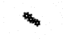 CC(C)(C1CCCCC1)C1CCC2C(CC3CCCCC32)C1